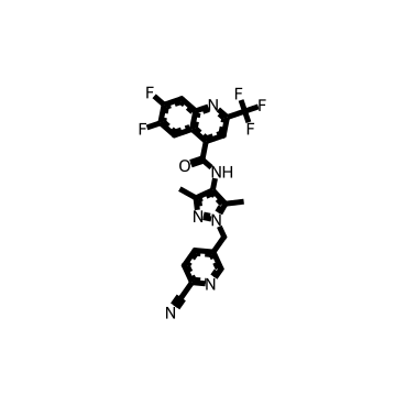 Cc1nn(Cc2ccc(C#N)nc2)c(C)c1NC(=O)c1cc(C(F)(F)F)nc2cc(F)c(F)cc12